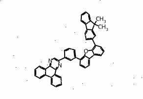 CC1(C)c2ccccc2-c2ccc(-c3cccc4c3oc3c(-c5cccc(-c6cnc7c8ccccc8c8ccccc8c7n6)c5)cccc34)cc21